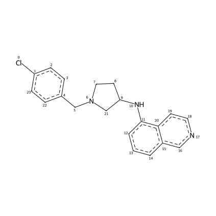 Clc1ccc(CN2CCC(Nc3cccc4cnccc34)C2)cc1